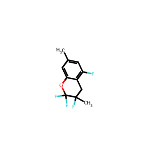 Cc1cc(F)c2c(c1)OC(F)(F)C(C)(F)C2